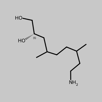 CC(CCN)CCC(C)C[C@H](O)CO